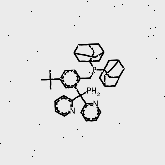 CC(C)(C)c1ccc(CP(C23CC4CC(CC(C4)C2)C3)C23CC4CC(CC(C4)C2)C3)c(C(P)(c2ccccn2)c2ccccn2)c1